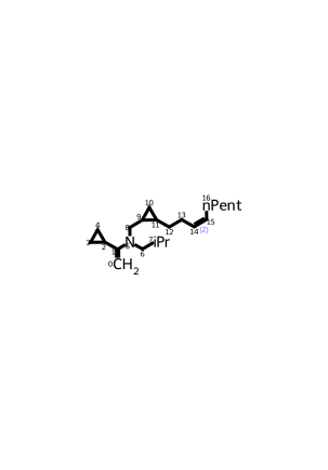 C=C(C1CC1)N(CC(C)C)CC1CC1CC/C=C\CCCCC